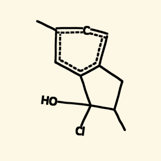 Cc1ccc2c(c1)C(O)(Cl)C(C)C2